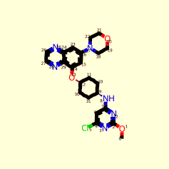 COc1nc(Cl)cc(N[C@H]2CC[C@@H](Oc3cc(N4CCOCC4)cc4nccnc34)CC2)n1